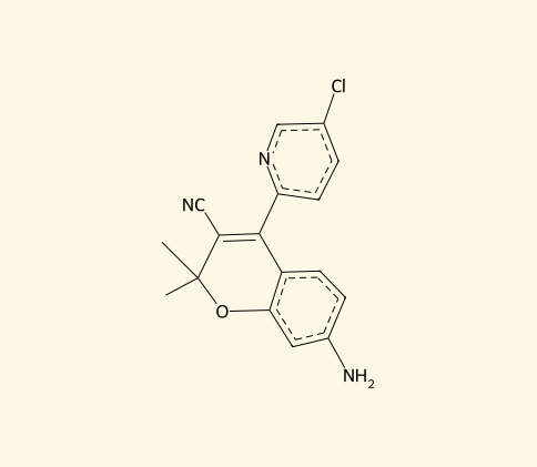 CC1(C)Oc2cc(N)ccc2C(c2ccc(Cl)cn2)=C1C#N